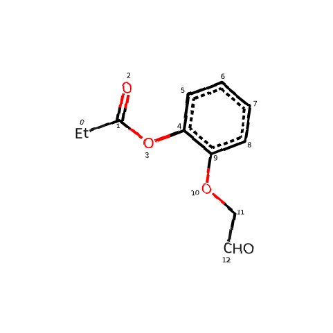 CCC(=O)Oc1ccccc1OCC=O